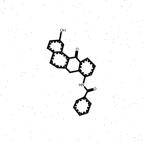 O=C(Nc1cccc2c1Cc1ccc3ccc(O)cc3c1C2=O)c1ccccc1